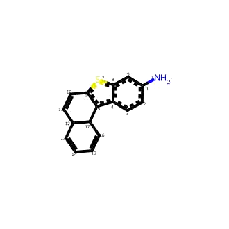 Nc1ccc2c3c(sc2c1)C=CC1C=CC=CC31